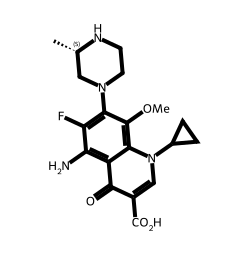 COc1c(N2CCN[C@@H](C)C2)c(F)c(N)c2c(=O)c(C(=O)O)cn(C3CC3)c12